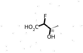 C[C@H](O)C(F)C(=O)O